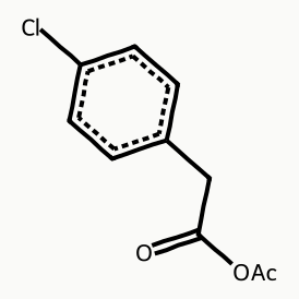 [CH2]C(=O)OC(=O)Cc1ccc(Cl)cc1